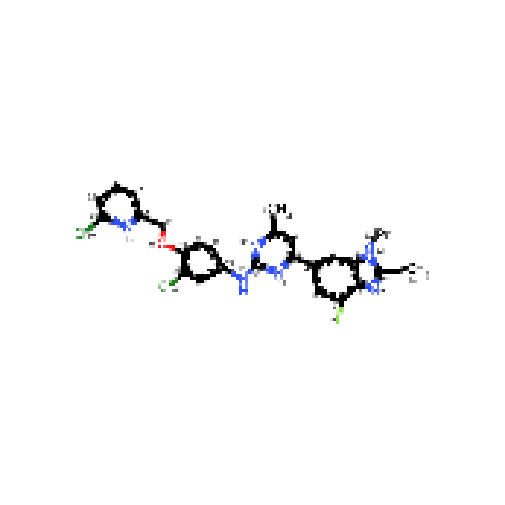 Cc1cc(-c2cc(F)c3nc(C)n(C(C)C)c3c2)nc(Nc2ccc(OCc3cccc(Cl)n3)c(Cl)c2)n1